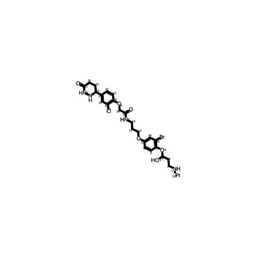 CC(C)NCCC(O)Oc1ccc(OCCCNC(=O)COc2ccc(C3CCC(=O)NN3)cc2Cl)cc1Br